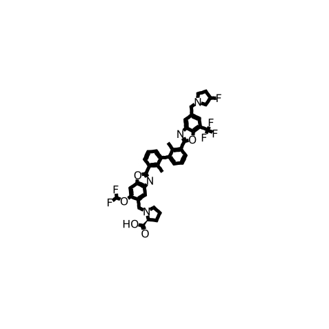 Cc1c(-c2nc3cc(CN4CCC[C@H]4C(=O)O)c(OC(F)F)cc3o2)cccc1-c1cccc(-c2nc3cc(CN4CCC(F)C4)cc(C(F)(F)F)c3o2)c1C